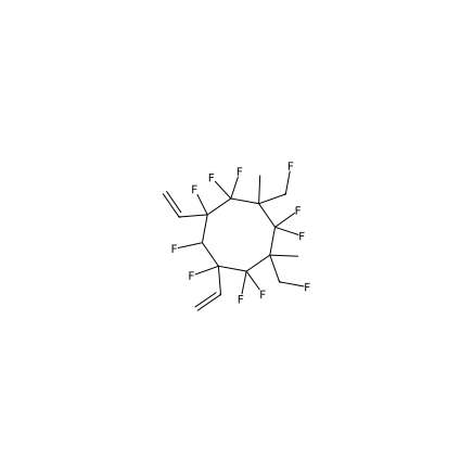 C=CC1(F)C(F)C(F)(C=C)C(F)(F)C(C)(CF)C(F)(F)C(C)(CF)C1(F)F